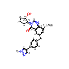 COc1cc(Cc2ccc(-c3cnn(C)c3)cc2)cc2c(=O)n([C@H]3CCC[C@@H]3O)cnc12